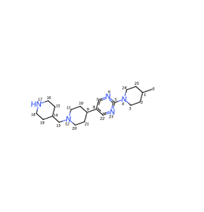 CC1CCN(c2ncc(C3CCN(CC4CCNCC4)CC3)cn2)CC1